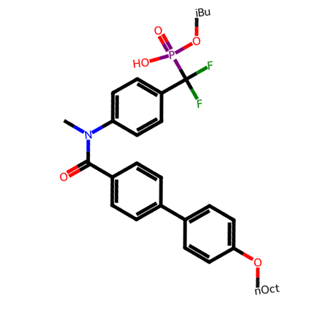 CCCCCCCCOc1ccc(-c2ccc(C(=O)N(C)c3ccc(C(F)(F)P(=O)(O)OC(C)CC)cc3)cc2)cc1